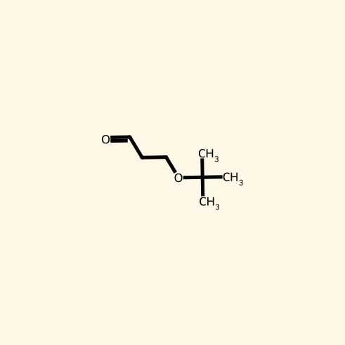 CC(C)(C)OCCC=O